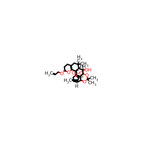 C=CCO[C@H]1CCC2=C(O1)C13CO[C@]4(OC(C)(C)OC5[C@H]6CCC1[C@]54C(=O)C6=C)[C@@H](O)[C@@H]3C(C)(C)C2